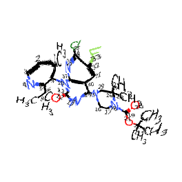 Cc1ccnc(C(C)C)c1-n1c(=O)nc(N2CCN(C(=O)OC(C)(C)C)C(C)(C)C2)c2cc(F)c(Cl)nc21